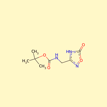 CC(C)(C)OC(=O)NCc1noc(=O)[nH]1